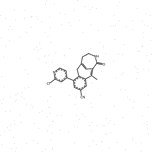 CC1=C2C=C(CCNC2=O)Cc2c1cc(C#N)cc2-c1ccnc(Cl)c1